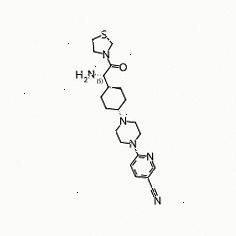 N#Cc1ccc(N2CCN([C@H]3CC[C@H]([C@H](N)C(=O)N4CCSC4)CC3)CC2)nc1